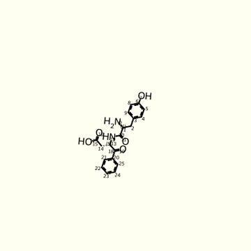 N[C@@H](Cc1ccc(O)cc1)C(=O)N[C@@H](CC(=O)O)C(=O)c1cc[c]cc1